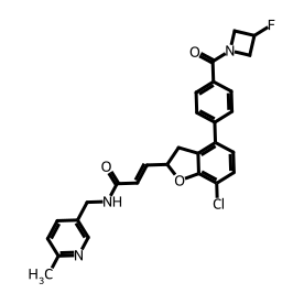 Cc1ccc(CNC(=O)/C=C/C2Cc3c(-c4ccc(C(=O)N5CC(F)C5)cc4)ccc(Cl)c3O2)cn1